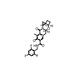 Cc1c2n(cc(C(=O)NCc3c(F)cc(F)cc3F)c1=O)C[C@H]1O[C@@H]3CCC34C[C@H]4N1C2=O